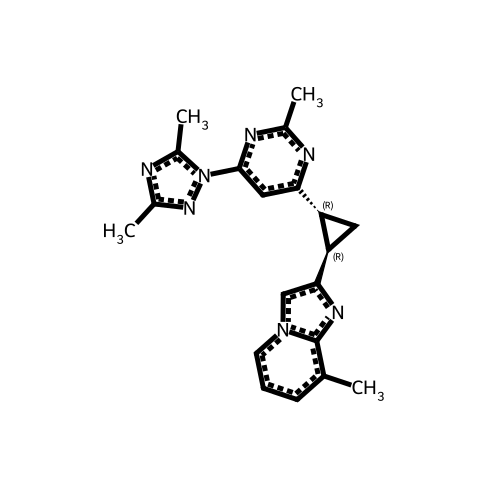 Cc1nc([C@@H]2C[C@H]2c2cn3cccc(C)c3n2)cc(-n2nc(C)nc2C)n1